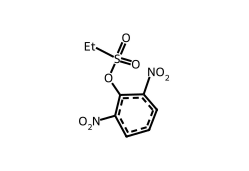 CCS(=O)(=O)Oc1c([N+](=O)[O-])cccc1[N+](=O)[O-]